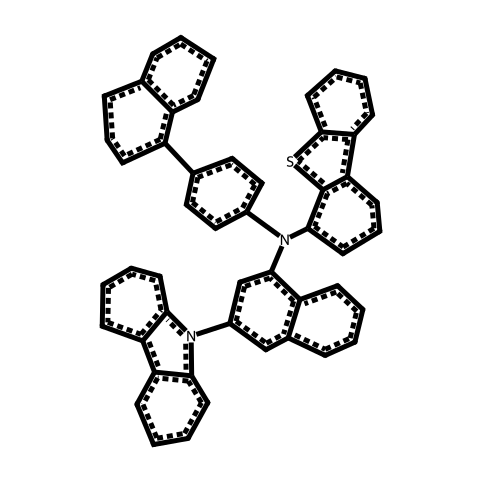 c1ccc2c(-c3ccc(N(c4cc(-n5c6ccccc6c6ccccc65)cc5ccccc45)c4cccc5c4sc4ccccc45)cc3)cccc2c1